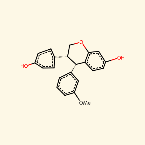 COc1cccc([C@H]2c3ccc(O)cc3OC[C@H]2c2ccc(O)cc2)c1